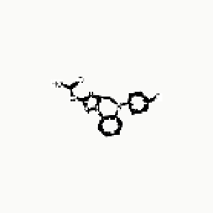 O=C(O)Oc1nc2n(n1)-c1ccccc1N(c1ccc(Cl)cc1)C2